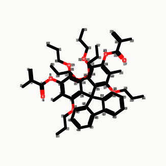 C=C(C)C(=O)Oc1c(C)c(OCCC)c(C2(c3c(OCCC)c(C)c(OC(=O)C(=C)C)c(OCCC)c3OCCC)c3ccccc3-c3ccccc32)c(OCCC)c1OCCC